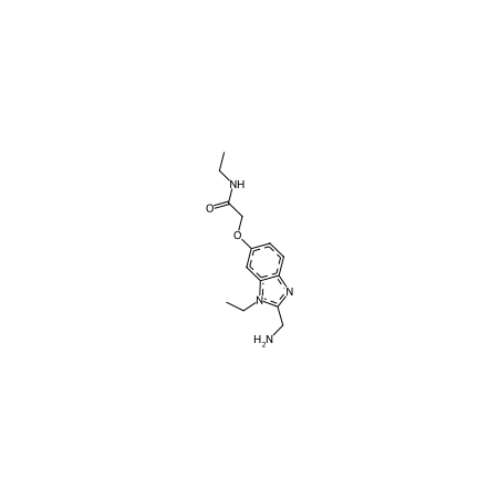 CCNC(=O)COc1ccc2nc(CN)n(CC)c2c1